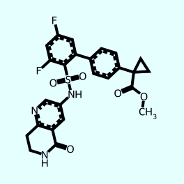 COC(=O)C1(c2ccc(-c3cc(F)cc(F)c3S(=O)(=O)Nc3cnc4c(c3)C(=O)NCC4)cc2)CC1